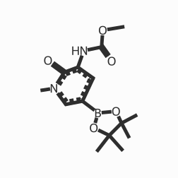 COC(=O)Nc1cc(B2OC(C)(C)C(C)(C)O2)cn(C)c1=O